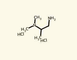 CC(CN)N(C)C.Cl.Cl